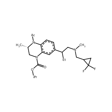 CCC(CN(C)CC1CC1(F)F)c1ccc2c(c1)N(C(=O)OC(C)C)C[C@H](C)N2C(C)=O